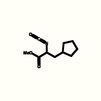 COC(=O)C(CC1CCCC1)N=C=O